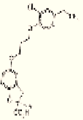 CC(C)[C@@]1(C(=O)O)Cc2cc(OCCCOc3ccc(CC(F)(F)F)cc3Cl)ccc2O1